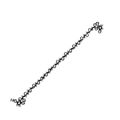 O=C(CCOCCOCCOCCOCCOCCOCCOCCOCCOCCOCCOCCOCCOCCOCCOCCOCCOCCC(=O)ON1C(=O)CCC1O)ON1C(=O)CCC1=O